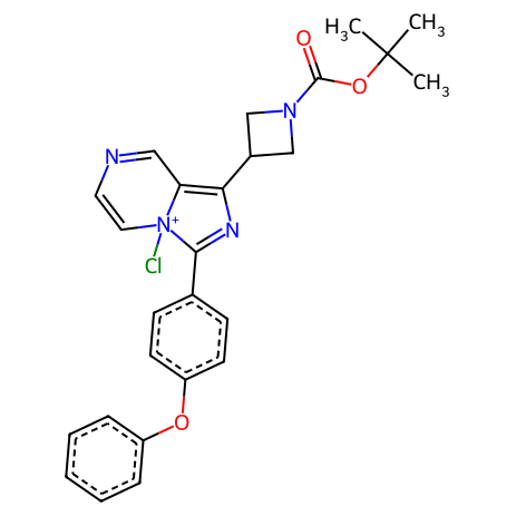 CC(C)(C)OC(=O)N1CC(C2=C3C=NC=C[N+]3(Cl)C(c3ccc(Oc4ccccc4)cc3)=N2)C1